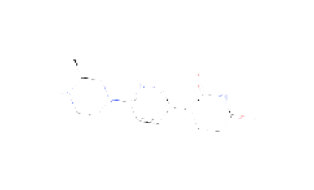 C[C@H]1CN(c2ccc(C3CCC(=O)NC3=O)cn2)CCN1